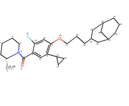 O=C(O)[C@@H]1CCCCN1C(=O)c1cc(C2CC2)c(OCCCC2CC3CCCC(C2)C3)cc1F